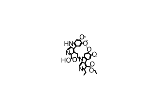 CCOC(=O)c1c(CC)ncc2c1c1cc(OC)c(OC)cc1n2CCc1c(C(=O)O)ncc2[nH]c3cc(OC)c(OC)cc3c12